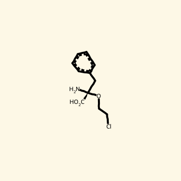 N[C@](Cc1ccccc1)(OCCCl)C(=O)O